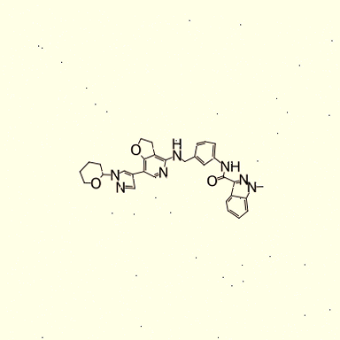 Cn1nc(C(=O)Nc2cccc(CNc3ncc(-c4cnn(C5CCCCO5)c4)c4c3CCO4)c2)c2ccccc21